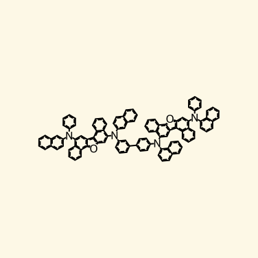 c1ccc(N(c2ccc3ccccc3c2)c2cc3c(oc4cc(N(c5cccc(-c6ccc(N(c7cccc8ccccc78)c7cc8c(oc9cc(N(c%10ccccc%10)c%10cccc%11ccccc%10%11)c%10ccccc%10c98)c8ccccc78)cc6)c5)c5ccc6ccccc6c5)c5ccccc5c43)c3ccccc23)cc1